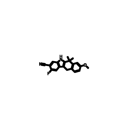 COc1ccc2c(c1)C(C)(C)c1[nH]c3cc(C#N)c(F)cc3c1C2